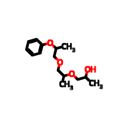 CC(O)COC(C)COCC(C)Oc1ccccc1